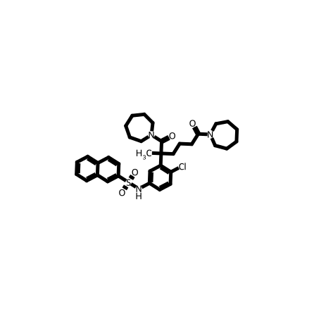 CC(CCCC(=O)N1CCCCCC1)(C(=O)N1CCCCCC1)c1cc(NS(=O)(=O)c2ccc3ccccc3c2)ccc1Cl